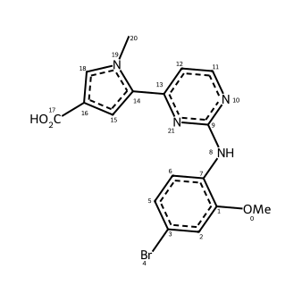 COc1cc(Br)ccc1Nc1nccc(-c2cc(C(=O)O)cn2C)n1